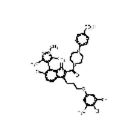 Cc1cc(OCCCc2c(C(=O)N3CCN(c4ccc(C(=O)O)cc4)CC3)[nH]c3c(-c4c(C)nn(C)c4C)c(Cl)ccc23)cc(C)c1Cl